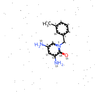 Cc1cccc(Cn2cc(N)cc(N)c2=O)c1